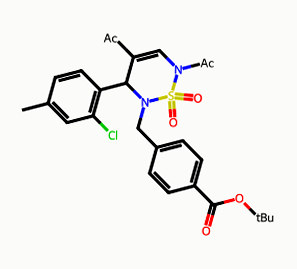 CC(=O)C1=CN(C(C)=O)S(=O)(=O)N(Cc2ccc(C(=O)OC(C)(C)C)cc2)C1c1ccc(C)cc1Cl